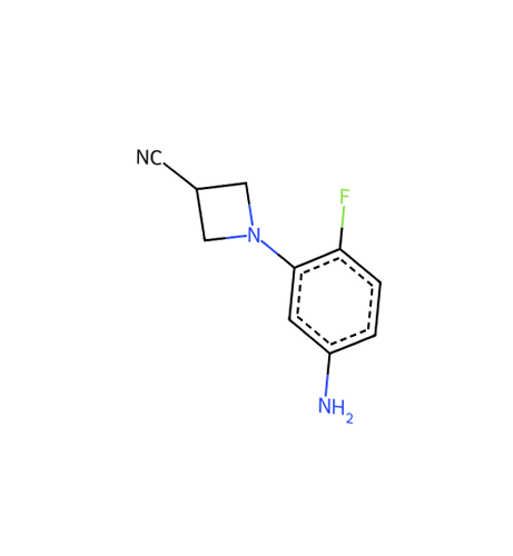 N#CC1CN(c2cc(N)ccc2F)C1